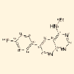 CCNc1ncnc2ncc(-c3ccc(F)cc3)cc12